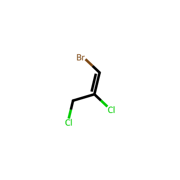 ClC/C(Cl)=C\Br